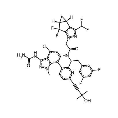 Cn1nc(NC(N)=O)c2c(Cl)ccc(-c3ccc(C#CC(C)(C)O)nc3[C@H](Cc3cc(F)cc(F)c3)NC(=O)Cn3nc(C(F)F)c4c3C(F)(F)[C@@H]3C[C@H]43)c21